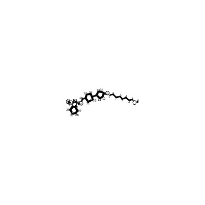 COCCCCCCCCOc1ccc(-c2ccc(COn3n[n+]([O-])c4ccccc43)cc2)cc1